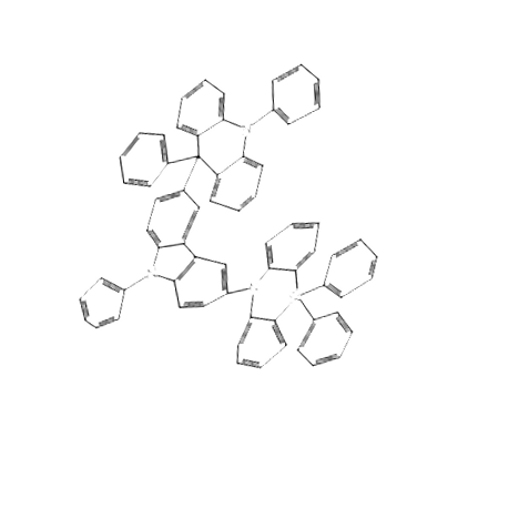 c1ccc(N2c3ccccc3C(c3ccccc3)(c3ccc4c(c3)c3cc(N5c6ccccc6[Si](c6ccccc6)(c6ccccc6)c6ccccc65)ccc3n4-c3ccccc3)c3ccccc32)cc1